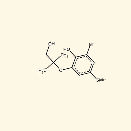 CSc1cc(OC(C)(C)CO)c(O)c(Br)n1